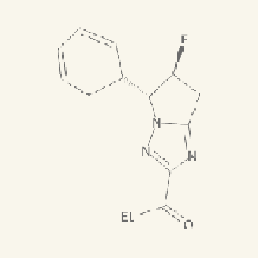 CCC(=O)c1nc2n(n1)[C@H](C1C=CC=CC1)[C@@H](F)C2